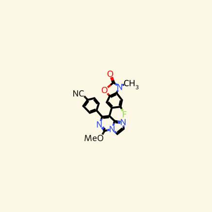 COc1nc(-c2ccc(C#N)cc2)c(-c2cc3oc(=O)n(C)c3cc2F)c2nccn12